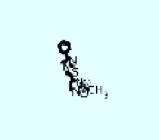 CS(=O)(=O)c1nccc(-c2cn3cc(-c4ccccc4)nc3s2)n1